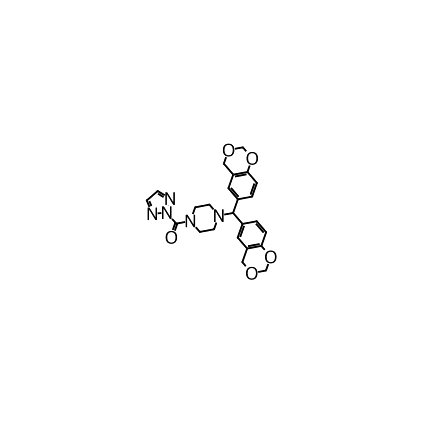 O=C(N1CCN(C(c2ccc3c(c2)COCO3)c2ccc3c(c2)COCO3)CC1)n1nccn1